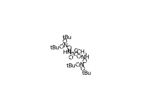 CC(C)(C)c1ccc2c(c1)c1cc(C(C)(C)C)ccc1n2-c1cccc(Nc2ccc3c(c2)C(C)(C)c2cc(Nc4cccc(-n5c6ccc(C(C)(C)C)cc6c6cc(C(C)(C)C)ccc65)c4)c4ccccc4c2-3)c1